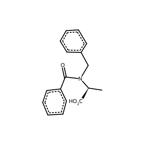 C[C@@H](C(=O)O)N(Cc1ccccc1)C(=O)c1ccccc1